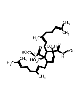 CCCCCCCCNC(=O)C1(C(=O)O)C=CC(C/C=C(\C)CCC=C(C)C)C(C(=O)O)(C(=O)NCCCCCCCC)C1C/C=C(\C)CCC=C(C)C